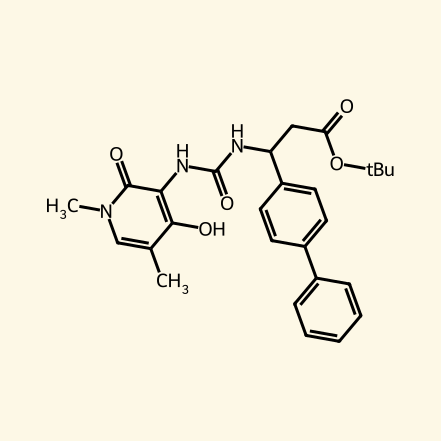 Cc1cn(C)c(=O)c(NC(=O)NC(CC(=O)OC(C)(C)C)c2ccc(-c3ccccc3)cc2)c1O